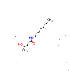 CCCCCCCCNC(=O)CCC(C)O